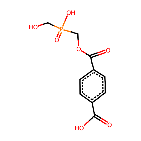 O=C(O)c1ccc(C(=O)OCP(=O)(O)CO)cc1